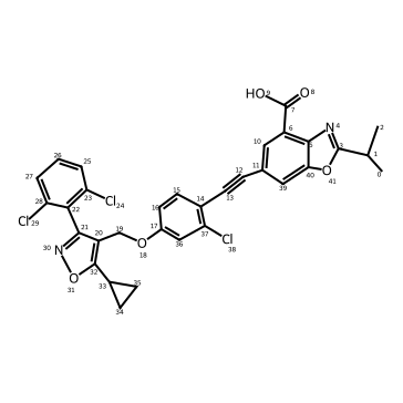 CC(C)c1nc2c(C(=O)O)cc(C#Cc3ccc(OCc4c(-c5c(Cl)cccc5Cl)noc4C4CC4)cc3Cl)cc2o1